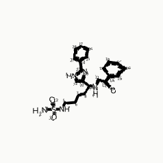 NS(=O)(=O)NCCCCC(NCC(=O)c1ccccc1)c1c[nH]c(-c2ccccc2)n1